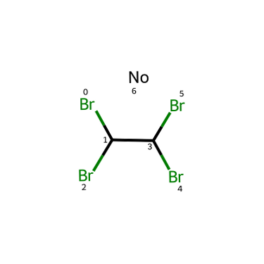 BrC(Br)C(Br)Br.[No]